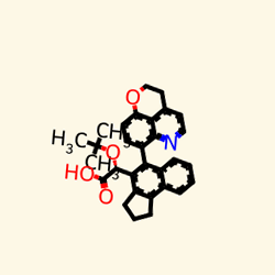 CC(C)(C)O[C@H](C(=O)O)c1c2c(c3ccccc3c1-c1ccc3c4c(ccnc14)CCO3)CCC2